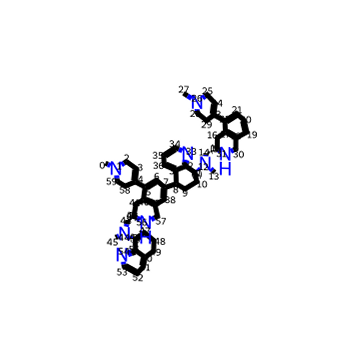 CN1CC=C(c2cc(C3CC[C@H](N(C)C[C@@H]4Cc5c(cccc5C5=CCN(C)CC5)CN4)c4ncccc43)cc3c2C[C@H](CN(C)[C@H]2CCCc4cccnc42)NC3)CC1